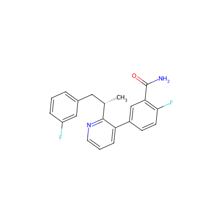 C[C@@H](Cc1cccc(F)c1)c1ncccc1-c1ccc(F)c(C(N)=O)c1